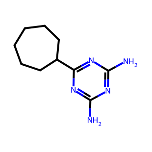 Nc1nc(N)nc(C2CCCCCC2)n1